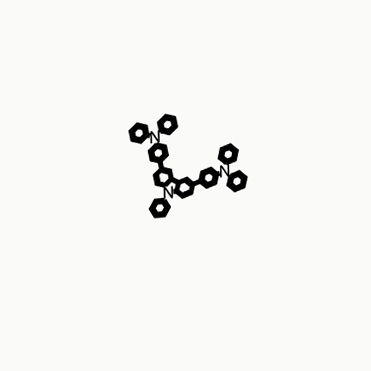 C1=CC2C(C=C1c1ccc(N(c3ccccc3)c3ccccc3)cc1)C1C=C(c3ccc(N(c4ccccc4)c4ccccc4)cc3)C=CC1N2c1ccccc1